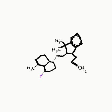 C=CCC1c2ccccc2C(C)(C)C1CC[C@@H]1CC[C@H](I)C2C1CCC[C@H]2C